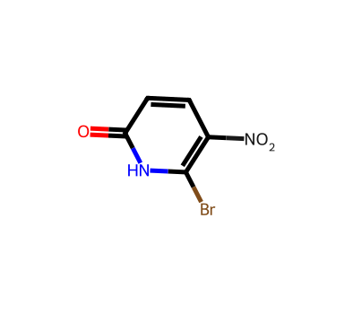 O=c1ccc([N+](=O)[O-])c(Br)[nH]1